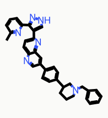 Cc1cccc(-c2n[nH]cc2-c2ccc3ncc(-c4ccc(C5CCCN(Cc6ccccc6)C5)cc4)cc3n2)n1